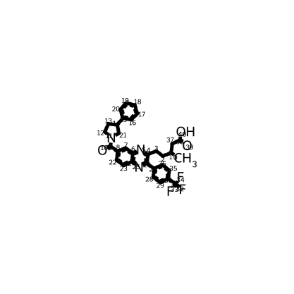 CC(CCc1nc2cc(C(=O)N3CCC(c4ccccc4)C3)ccc2nc1-c1ccc(C(F)(F)F)cc1)CC(=O)O